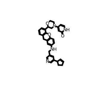 O=c1cc(N2CCOC(c3cccc4c3Oc3ccc(NCc5cncc(C6C=CCC6)c5)cc3C4)C2)cc[nH]1